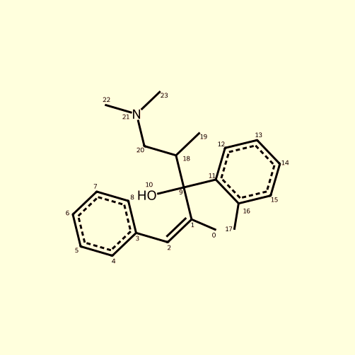 CC(=Cc1ccccc1)C(O)(c1ccccc1C)C(C)CN(C)C